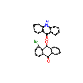 O=C1c2ccccc2C(=O)c2c(Br)cccc21.O=c1c2ccccc2[nH]c2ccccc12